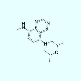 CNc1ccc(N2CC(C)OC(C)C2)c2cncnc12